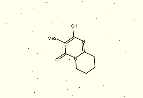 CSc1c(O)nc2n(c1=O)CCCC2